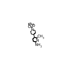 Cc1nc(N)ccc1C1=CCN(C(=O)OC(C)(C)C)CC1